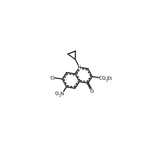 CCOC(=O)c1cn(C2CC2)c2cc(Cl)c([N+](=O)[O-])cc2c1=O